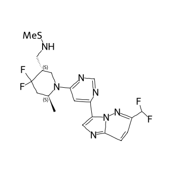 CSNC[C@@H]1CN(c2cc(-c3cnc4ccc(C(F)F)nn34)ncn2)[C@@H](C)CC1(F)F